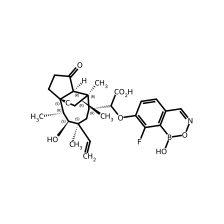 C=C[C@]1(C)C[C@@H](C(Oc2ccc3c(c2F)B(O)ON=C3)C(=O)O)[C@@]2(C)[C@H](C)CC[C@]3(CCC(=O)[C@H]32)[C@@H](C)[C@@H]1O